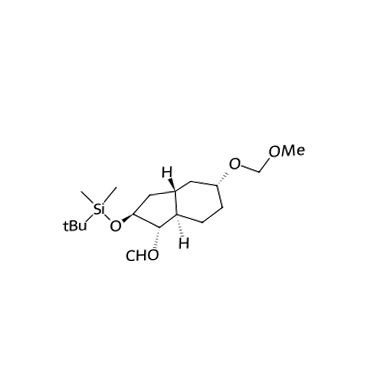 COCO[C@@H]1CC[C@@H]2[C@@H](C1)C[C@H](O[Si](C)(C)C(C)(C)C)[C@H]2C=O